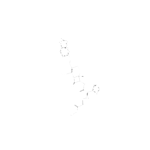 CC(C)(C)OC(=O)CO/N=C(\C(=O)NC1C(=O)N2C(C(=O)O)=C(CSc3ccc4nnnn4n3)CS[C@H]12)c1cscn1